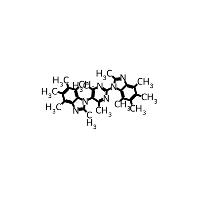 Cc1nc(-n2c(C)nc3c(C)c(C)c(C)c(C)c32)nc(C)c1-n1c(C)nc2c(C)c(C)c(C)c(C)c21